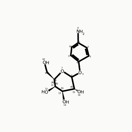 Nc1ccc(OC2O[C@H](CO)[C@H](O)[C@H](O)[C@H]2O)cc1